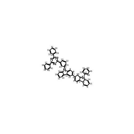 C1=CC2C3=CC=C(c4ccc5c(c4)c4ccccc4n5-c4cccc(-c5nc(-c6ccccc6)nc(-c6ccccc6)n5)c4)CC3N(c3ccccc3)C2C=C1